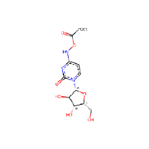 CCCCCCCCC(=O)ONc1ccn([C@@H]2O[C@H](CO)[C@H](O)C2O)c(=O)n1